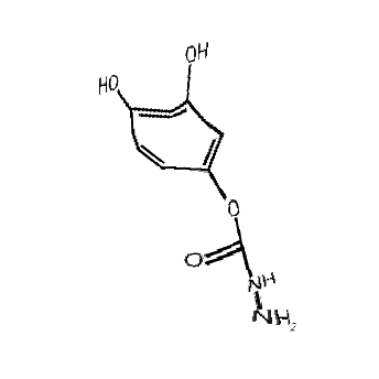 NNC(=O)Oc1ccc(O)c(O)c1